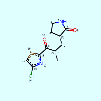 C[C@@H](C[C@@H]1CCNC1=O)C(=O)c1nc(Cl)cs1